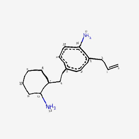 C=CCc1cc(CC2CCCCC2N)ccc1N